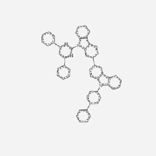 c1ccc(-c2ccc(-n3c4ccccc4c4cc(-c5ccc6c7ccccc7n(-c7nc(-c8ccccc8)cc(-c8ccccc8)n7)c6c5)ccc43)cc2)cc1